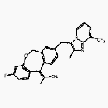 C/C(C#N)=C1/c2ccc(Cc3c(C)nc4c(C(F)(F)F)cccn34)cc2COc2cc(F)ccc21